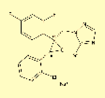 Fc1ccc([C@@]2(Cn3ncnc3[S-])O[C@@H]2c2ccccc2Cl)c(F)c1.[Na+]